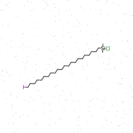 C[Si](C)(Cl)CCCCCCCCCCCCCCCCCCCCCCI